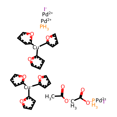 CC(=O)[O-].CC(=O)[O-].P.P.[I-].[I-].[Pd+2].[Pd+2].[Pd+2].c1co[c]([Cu-]([c]2ccco2)[c]2ccco2)c1.c1co[c]([Cu-]([c]2ccco2)[c]2ccco2)c1